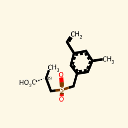 C=Cc1cc(C)cc(CS(=O)(=O)C[C@@H](C)C(=O)O)c1